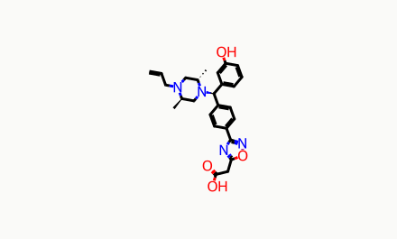 C=CCN1C[C@H](C)N([C@H](c2ccc(-c3noc(CC(=O)O)n3)cc2)c2cccc(O)c2)C[C@H]1C